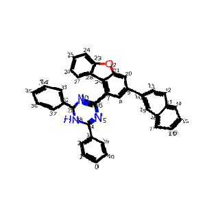 c1ccc(C2=NC(c3cc(-c4ccc5ccccc5c4)cc4oc5ccccc5c34)=NC(c3ccccc3)N2)cc1